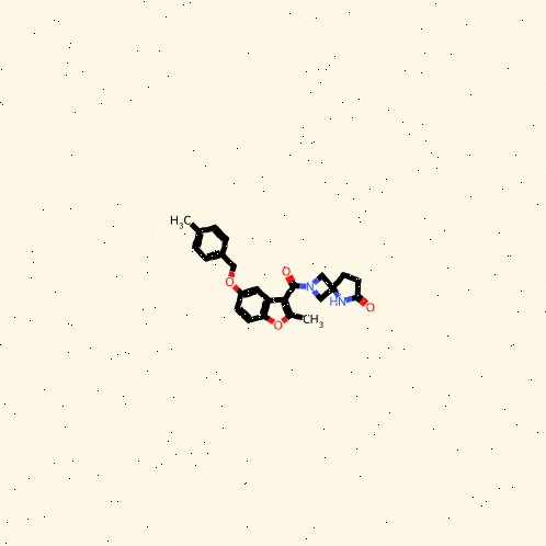 Cc1ccc(COc2ccc3oc(C)c(C(=O)N4CC5(CCC(=O)N5)C4)c3c2)cc1